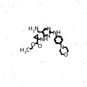 CCOC(=O)C1(Nc2nc(Nc3ccc(N4CCOCC4)cc3)ncc2CN)CC1